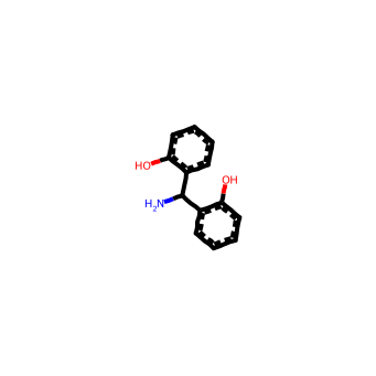 NC(c1ccccc1O)c1ccccc1O